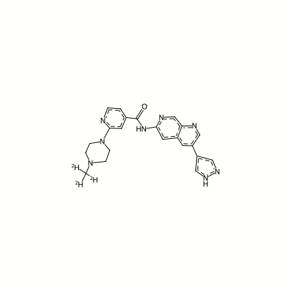 [2H]C([2H])([2H])N1CCN(c2cc(C(=O)Nc3cc4cc(-c5cn[nH]c5)cnc4cn3)ccn2)CC1